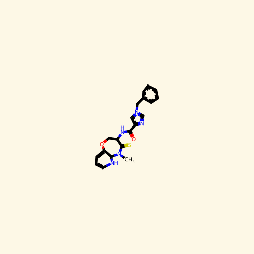 CN1C(=S)C(NC(=O)c2cn(Cc3ccccc3)cn2)COC2=CC=CNC21